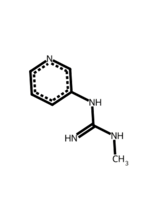 CNC(=N)Nc1cccnc1